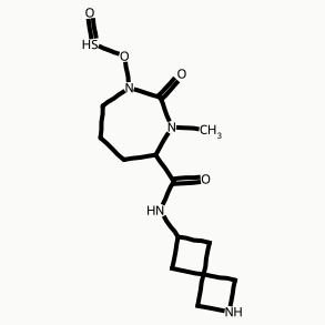 CN1C(=O)N(O[SH]=O)CCCC1C(=O)NC1CC2(CNC2)C1